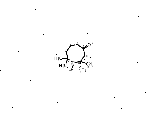 CCP1C(C)(C)CCCC(=O)CC1(C)C